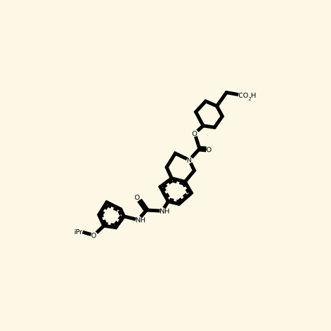 CC(C)Oc1cccc(NC(=O)Nc2ccc3c(c2)CCN(C(=O)OC2CCC(CC(=O)O)CC2)C3)c1